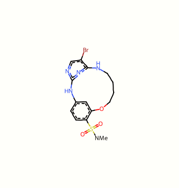 CNS(=O)(=O)c1ccc2cc1OCCCCNc1nc(ncc1Br)N2